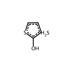 Oc1cccs1.S